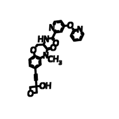 CN1C(=O)C(NC(=O)c2cc(Oc3ccccn3)ccn2)COc2ccc(C#CC3(O)COC3)cc21